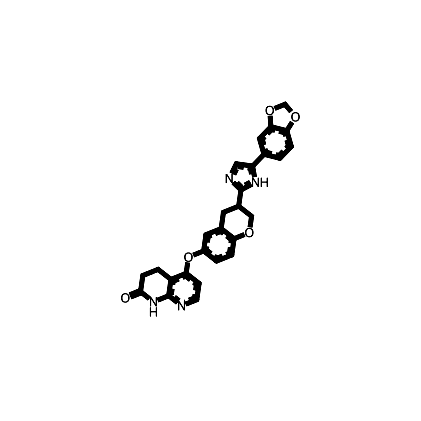 O=C1CCc2c(Oc3ccc4c(c3)CC(c3ncc(-c5ccc6c(c5)OCO6)[nH]3)CO4)ccnc2N1